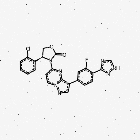 O=C1OC[C@H](c2ccccc2Cl)N1c1ccn2ncc(-c3ccc(-c4nc[nH]n4)c(F)c3)c2n1